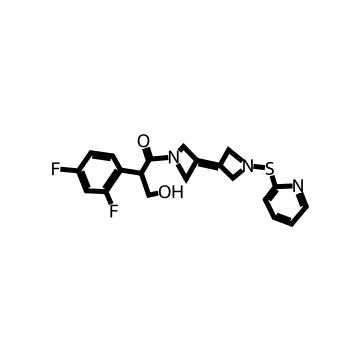 O=C(C(CO)c1ccc(F)cc1F)N1CC(=C2CN(Sc3ccccn3)C2)C1